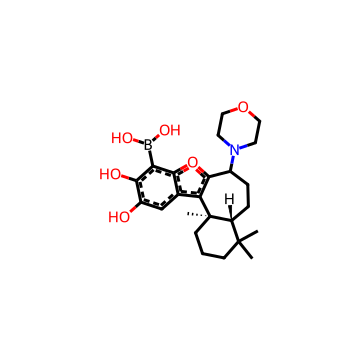 CC1(C)CCC[C@@]2(C)c3c(oc4c(B(O)O)c(O)c(O)cc34)C(N3CCOCC3)CC[C@H]12